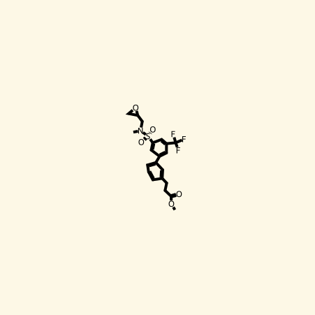 COC(=O)CCc1cccc(-c2cc(C(F)(F)F)cc(S(=O)(=O)N(C)CC3CO3)c2)c1